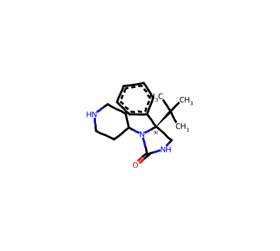 CC(C)(C)[C@@]1(c2ccccc2)CNC(=O)N1C1CCNCC1